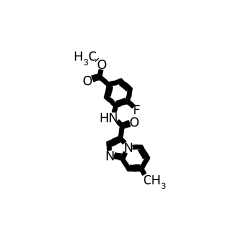 COC(=O)c1ccc(F)c(NC(=O)c2cnc3cc(C)ccn23)c1